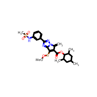 C=c1c(C(=O)OC2C(C)CC(C)CC2C)c(SOOC)c2nc(-c3cccc(NS(C)(=O)=O)c3)nn12